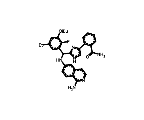 CCc1cc(OCC(C)C)c(F)c(C(Nc2ccc3c(N)nccc3c2)c2nc(-c3ccccc3C(N)=O)c[nH]2)c1